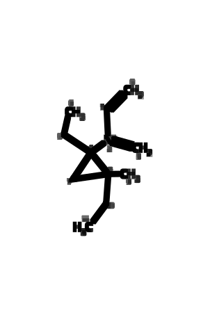 C=C[N+](=C)C1(CC)CC1(C)CC